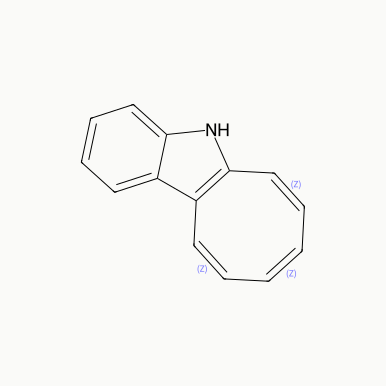 C1=C\C=C/c2c([nH]c3ccccc23)\C=C/1